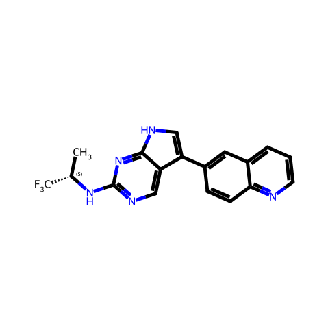 C[C@H](Nc1ncc2c(-c3ccc4ncccc4c3)c[nH]c2n1)C(F)(F)F